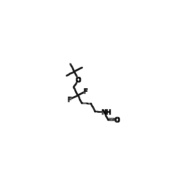 CC(C)(C)OCC(F)(F)CCCNC=O